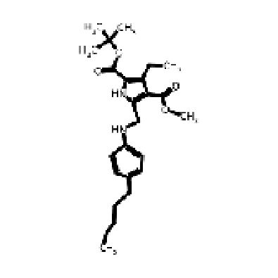 CCCCCc1ccc(NCc2[nH]c(C(=O)OC(C)(C)C)c(CC)c2C(=O)OC)cc1